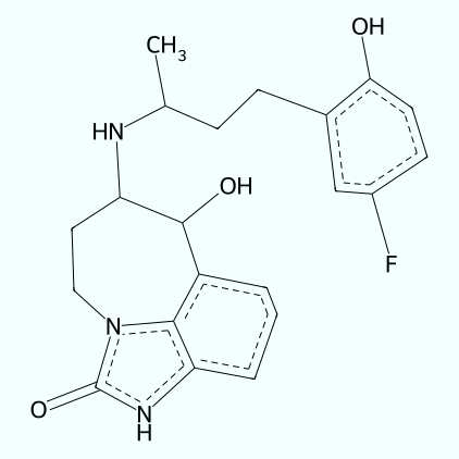 CC(CCc1cc(F)ccc1O)NC1CCn2c(=O)[nH]c3cccc(c32)C1O